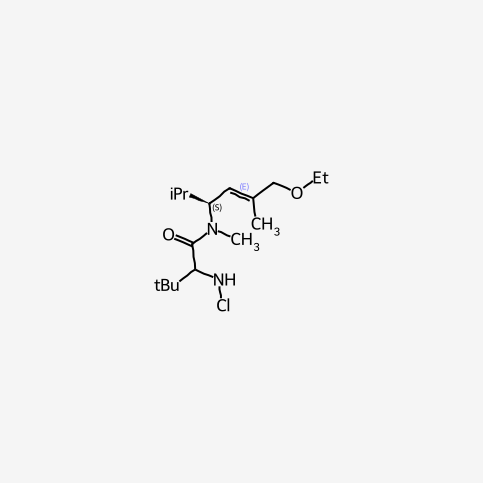 CCOC/C(C)=C/[C@H](C(C)C)N(C)C(=O)C(NCl)C(C)(C)C